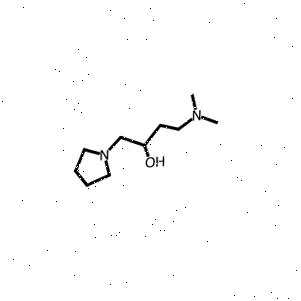 CN(C)CCC(O)CN1CCCC1